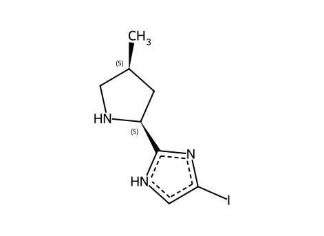 C[C@@H]1CN[C@H](c2nc(I)c[nH]2)C1